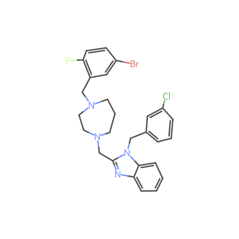 Fc1ccc(Br)cc1CN1CCCN(Cc2nc3ccccc3n2Cc2cccc(Cl)c2)CC1